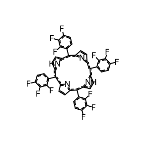 Fc1ccc(-c2c3nc(c(-c4ccc(F)c(F)c4F)c4ccc([nH]4)c(-c4ccc(F)c(F)c4F)c4nc(c(-c5ccc(F)c(F)c5F)c5ccc2[nH]5)C=C4)C=C3)c(F)c1F